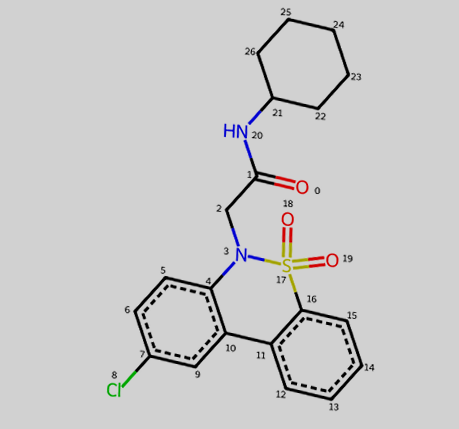 O=C(CN1c2ccc(Cl)cc2-c2ccccc2S1(=O)=O)NC1CCCCC1